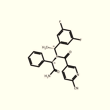 C[C@H](c1cc(F)cc(F)c1)N(C(=O)c1ccc(C#N)nc1)[C@@H](C(N)=O)c1ccccc1